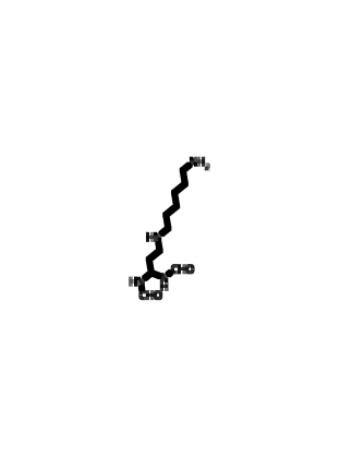 NCCCCCCNCCC(NC=O)NC=O